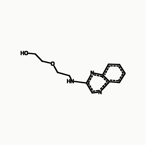 OCCOCCNc1cnc2ccccc2n1